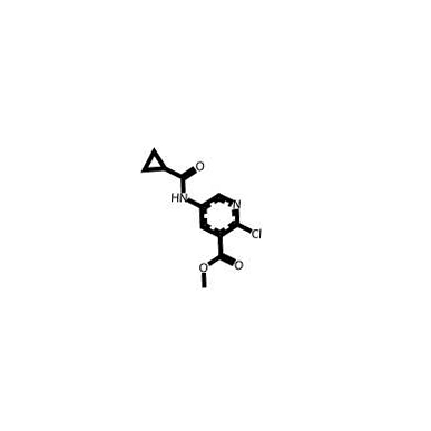 COC(=O)c1cc(NC(=O)C2CC2)cnc1Cl